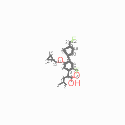 CC(C)CC(C(=O)O)c1cc(OCC2CC2)c(-c2ccc(CF)cc2)cc1F